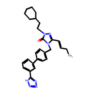 CCC=Cc1nn(CCC2CCCCC2)c(=O)n1Cc1ccc(-c2cccc(-c3nnn[nH]3)c2)cc1